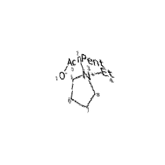 CC(=O)[O-].CCCCC[N+]1(CC)CCCC1